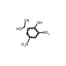 N#CCO.O=[N+]([O-])c1ccc(O)c([N+](=O)[O-])c1